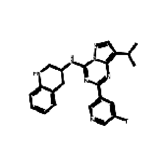 CC(C)c1cnn2c(NC3CNc4ccccc4C3)nc(-c3cncc(F)c3)nc12